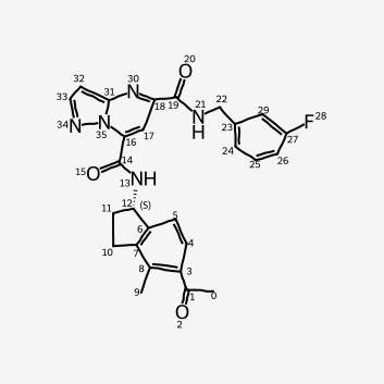 CC(=O)c1ccc2c(c1C)CC[C@@H]2NC(=O)c1cc(C(=O)NCc2cccc(F)c2)nc2ccnn12